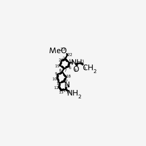 C=CC(=O)Nc1cc(-c2ccc3ccc(N)nc3c2)ccc1COC